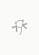 CCC1S(=O)(=O)OCOS1(=O)=O